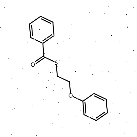 O=C(SCCOc1ccccc1)c1ccccc1